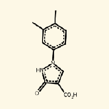 Cc1ccc(-n2cc(C(=O)O)c(=O)[nH]2)cc1C